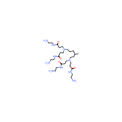 CC(CCCN(CCC(=O)NCCN)CCC(=O)NCCN)CCN(CCC(=O)NCCN)CCC(=O)NCCN